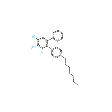 CCCCCCCc1ccc(-c2c(-c3ccccc3)cc(F)c(F)c2F)cc1